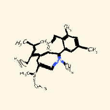 C=Cc1c(C)cc(C)cc1C1C=C(C(C)C(C)C)C([SiH](C)C)=CN1C